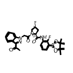 CC(=O)c1nn(CC(=O)N2C[C@H](F)C[C@H]2C(=O)Nc2cccc(B3OC(C)(C)C(C)(C)O3)c2F)c2ccccc12